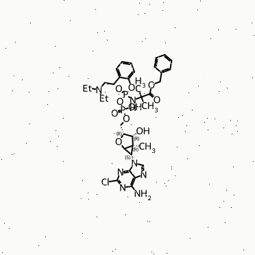 CCN(CC)CCc1ccccc1OP(=O)(NC(C)(C)C(=O)OCc1ccccc1)OP(=O)(O)OC[C@H]1OC2[C@@H](n3cnc4c(N)nc(Cl)nc43)[C@]2(C)[C@H]1O